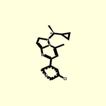 CC1=CC(c2cncc(Cl)c2)=NC2=CCN([C@@H](C)C3CC3)N12